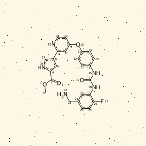 COC(=O)c1cc(-c2cc(Oc3ccc(NC(=O)Nc4cc(CN)ccc4F)cc3)ccn2)c[nH]1